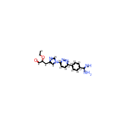 CCOC(C=O)Cc1cn(-c2ccc(-c3ccc(C(=N)N)cc3)nn2)cn1